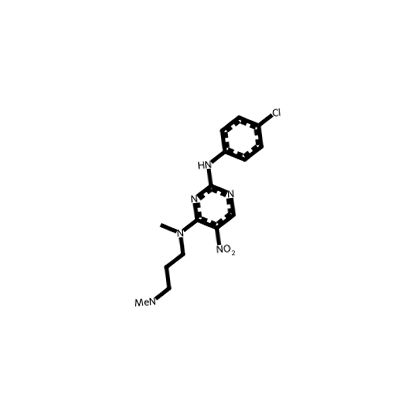 CNCCCN(C)c1nc(Nc2ccc(Cl)cc2)ncc1[N+](=O)[O-]